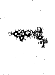 CC1(c2ccc(Cl)cc2F)Oc2cccc(C3CCN(Cc4nc5cc(-c6nnc(C7CC7)[nH]6)cnc5n4C[C@@H]4CCO4)CC3)c2O1